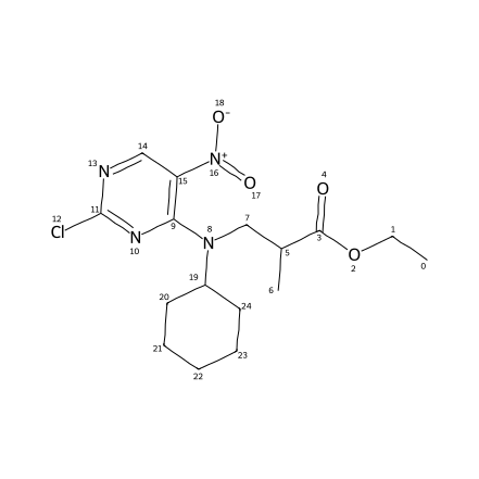 CCOC(=O)C(C)CN(c1nc(Cl)ncc1[N+](=O)[O-])C1CCCCC1